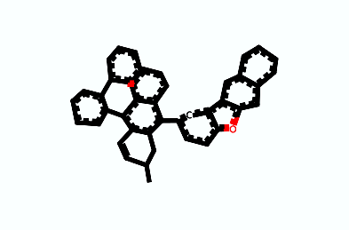 CC1C=Cc2c(c(-c3ccc4oc5cc6ccccc6cc5c4c3)c3ccccc3c2-c2ccccc2-c2ccccc2)C1